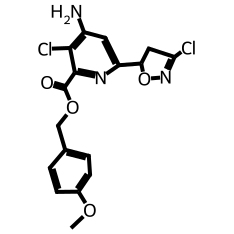 COc1ccc(COC(=O)c2nc(C3CC(Cl)=NO3)cc(N)c2Cl)cc1